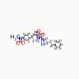 Cn1c(=O)oc2cc(C3CCN(C(=O)NCCCCc4ccccc4)C4(COC4)C3)ccc21